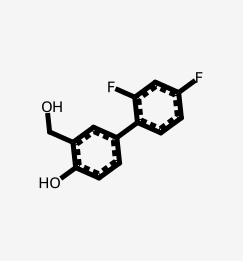 OCc1cc(-c2ccc(F)cc2F)ccc1O